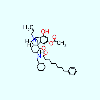 C=CCN1CC[C@]23c4c5c(O)cc(OC(C)=O)c4O[C@H]2[C@H](N(CC2CCCCC2)C(=O)CCCCCCCc2ccccc2)CC[C@H]3[C@H]1C5